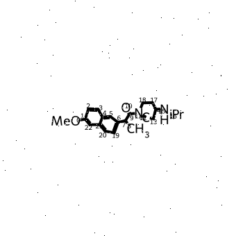 COc1ccc2cc(C(C)C(=O)N3CCC(NC(C)C)CC3)ccc2c1